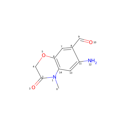 CN1C(=O)COc2cc(C=O)c(N)cc21